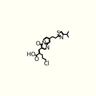 CC(C)c1csc(CCc2ccn3c(=O)c(/C=C(\CCCCl)C(=O)O)cnc3c2)n1